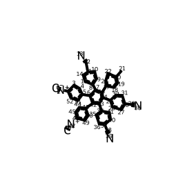 [C-]#[N+]c1ccc(-c2c(-c3ccc(C#N)cc3)c(-c3ccc(C)cc3)c(-c3ccc(C#N)cc3)c(-c3ccc(C#N)cc3)c2-c2ccc([N+]#[C-])cc2)cc1